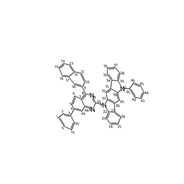 c1ccc(-c2ccc3c(-c4ccc5ccccc5c4)nc(-n4c5ccccc5c5cc6c(cc54)c4ccccc4n6-c4ccccc4)nc3c2)cc1